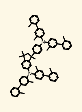 Cc1ccccc1-c1ccc(N(c2ccc(C3(C)CC(C)(C)c4ccc(N(c5ccc(-c6ccccc6C)cc5C)c5ccc(-c6ccccc6C)cc5C)cc43)cc2)c2ccc(-c3ccccc3C)cc2C)c(C)c1